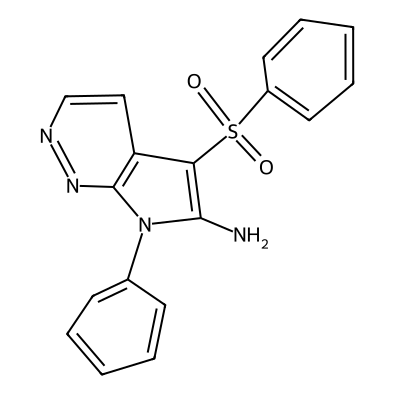 Nc1c(S(=O)(=O)c2ccccc2)c2ccnnc2n1-c1ccccc1